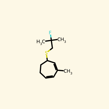 CC1=CC(SCC(C)(C)F)CCC=C1